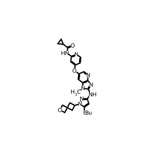 Cn1c(Nc2cc(C(C)(C)C)n(C3CC4(COC4)C3)n2)nc2ncc(Oc3ccnc(NC(=O)C4CC4)c3)cc21